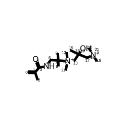 C=C(C)C(=O)NCC(C)(C)[N+](C)(C)CC(C)(O)C[N+](C)(C)C